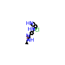 Clc1ccc2c(c1NCc1ccc(-c3cc(NCC4CC4)sn3)cc1)CCNCC2